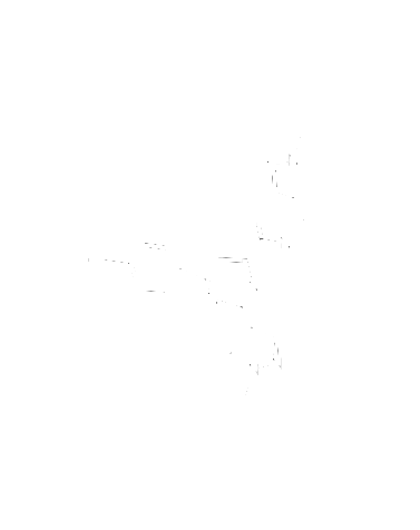 C[C@H](NC(=O)c1cc(-c2ccc(Cl)cc2)nc(-c2cnn(C)c2)n1)c1cnn(C)c1